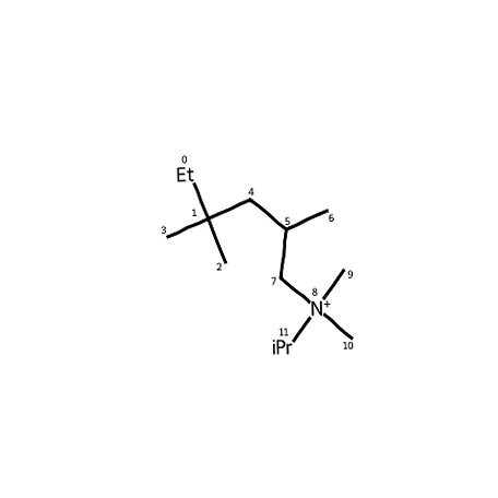 CCC(C)(C)CC(C)C[N+](C)(C)C(C)C